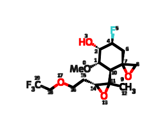 CO[C@@H]1[C@H](O)[C@@H](F)C[C@]2(CO2)[C@H]1C1(C)O[C@@H]1CCOCC(F)(F)F